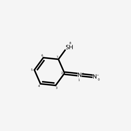 [N-]=[N+]=C1C=CC=CC1S